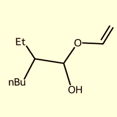 C=COC(O)C(CC)CCCC